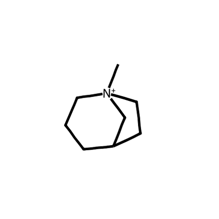 C[N+]12CCCC(CC1)C2